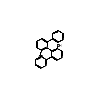 Oc1cccc(-c2ccccc2)c1-c1c(O)cccc1-c1ccccc1